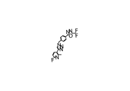 Cc1nc(F)ccc1-c1cn(Cc2ccc(-c3nnc(C(F)F)o3)cc2)nn1